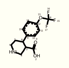 O=C(O)C1CNCCC1c1ccc(OC(F)(F)F)cc1